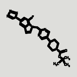 CC(C)(C)OC(=O)N1CCC(c2cnc(Cn3ccc4cc(-n5cnnn5)cc(F)c43)nc2)CC1